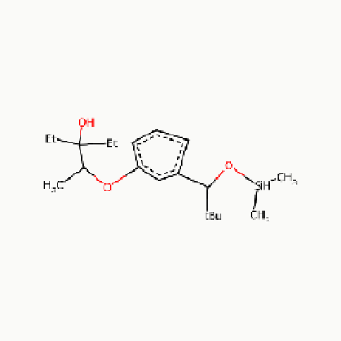 CCC(O)(CC)C(C)Oc1cccc(C(O[SiH](C)C)C(C)(C)C)c1